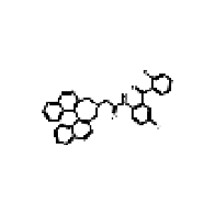 O=C(CN1Cc2ccc3ccccc3c2-c2c(ccc3ccccc23)C1)Nc1ccc(Br)cc1C(=O)c1ccccc1F